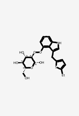 CCc1ccc(Cc2c[nH]c3cccc(OO[C@@H]4[C@@H](O)[C@H](O)[C@@H](CO)O[C@H]4O)c23)s1